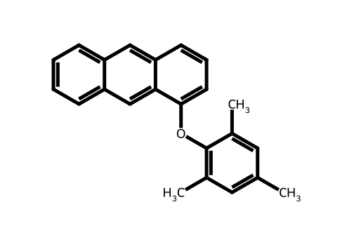 Cc1cc(C)c(Oc2cccc3cc4ccccc4cc23)c(C)c1